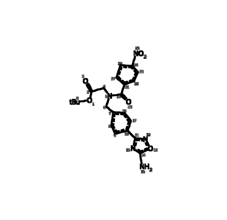 CC(C)(C)OC(=O)CN(Cc1ccc(-c2noc(N)n2)cc1)C(=O)c1ccc([N+](=O)[O-])cc1